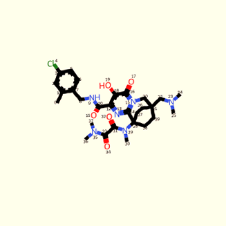 Cc1cc(Cl)ccc1CNC(=O)c1nc2n(c(=O)c1O)CC1(CN(C)C)CCC2(N(C)C(=O)C(=O)N(C)C)CC1